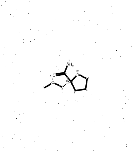 COC[C@@]1(C(N)=O)CCC[N]1